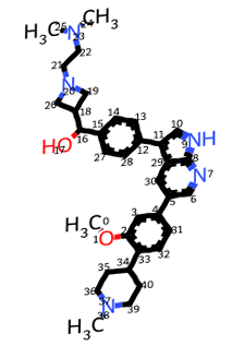 COc1cc(-c2cnc3[nH]cc(-c4ccc(C(O)C5CN(CCN(C)C)C5)cc4)c3c2)ccc1C1CCN(C)CC1